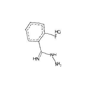 Cl.N=C(NN)c1ccccc1F